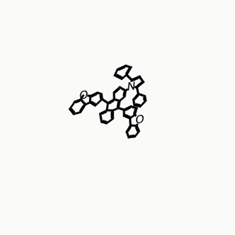 c1ccc(-c2ccc(-c3ccccc3)n2-c2ccc3c(-c4ccc5oc6ccccc6c5c4)c4ccccc4c(-c4ccc5oc6ccccc6c5c4)c3c2)cc1